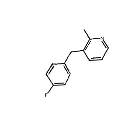 Cc1ncc[c]c1Cc1ccc(F)cc1